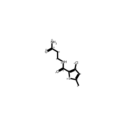 Cc1cc(Cl)c(C(=O)NCCC(N)=O)s1